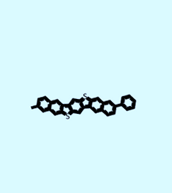 Cc1ccc2cc3c(cc2c1)sc1cc2c(cc13)sc1cc3cc(-c4ccccc4)ccc3cc12